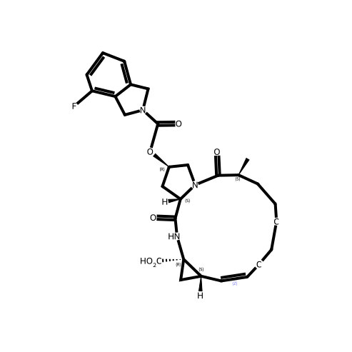 C[C@H]1CCCCC/C=C\[C@@H]2C[C@@]2(C(=O)O)NC(=O)[C@@H]2C[C@@H](OC(=O)N3Cc4cccc(F)c4C3)CN2C1=O